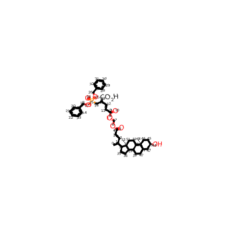 CC(CCC(=O)OCOC(=O)CCC(CP(=O)(OCc1ccccc1)OCc1ccccc1)C(=O)O)C1CCC2C3CCC4C[C@H](O)CC[C@]4(C)C3CC[C@]12C